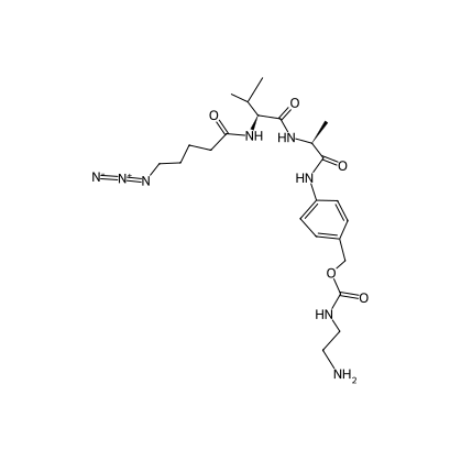 CC(C)[C@H](NC(=O)CCCCN=[N+]=[N-])C(=O)N[C@@H](C)C(=O)Nc1ccc(COC(=O)NCCN)cc1